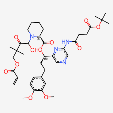 C=CC(=O)OCC(C)(C)C(=O)C(O)N1CCCC[C@H]1C(=O)O[C@H](CCc1ccc(OC)c(OC)c1)c1cncc(NC(=O)CCC(=O)OC(C)(C)C)n1